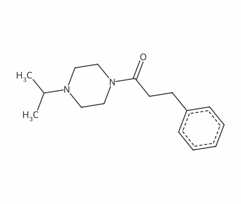 CC(C)N1CCN(C(=O)CCc2ccccc2)CC1